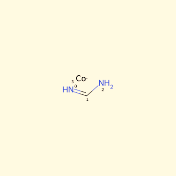 N=CN.[Co]